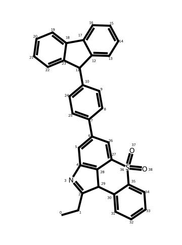 CCC1=Nc2cc(-c3ccc(C4c5ccccc5-c5ccccc54)cc3)cc3c2C1c1ccccc1S3(=O)=O